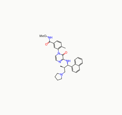 CONC(=O)c1ccc(C)c(-n2ccnc(N[C@@H](c3cccc4ccccc34)[C@H](C)CN3CCCC3)c2=O)c1